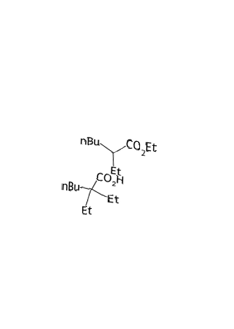 CCCCC(CC)(CC)C(=O)O.CCCCC(CC)C(=O)OCC